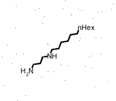 CCCCCCCCCCCCNCCCN